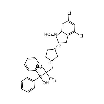 CC(C)(C[C@@H]1CCN([C@H]2Cc3c(Cl)cc(Cl)cc3[C@@H]2O)C1)[Si](O)(c1ccccc1)c1ccccc1